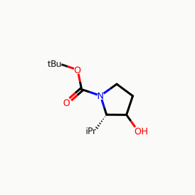 CC(C)[C@H]1C(O)CCN1C(=O)OC(C)(C)C